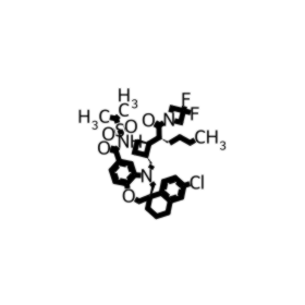 CCCC[C@@H](C(=O)N1CC(F)(F)C1)[C@@H]1CC[C@H]1CN1C[C@@]2(CCCc3cc(Cl)ccc32)COc2ccc(C(=O)NS(=O)(=O)C(C)C)cc21